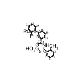 Cc1ccccc1[C@H](CC(=O)O)NC(=O)c1cccc(-c2cccc(F)c2F)n1